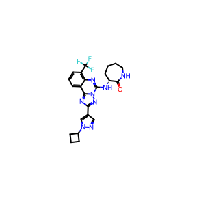 O=C1NCCCC[C@H]1Nc1nc2c(C(F)(F)F)cccc2c2nc(-c3cnn(C4CCC4)c3)nn12